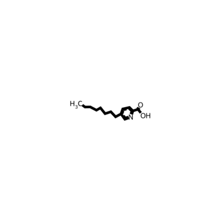 CCCCCCCCc1ccc(C(=O)O)nc1